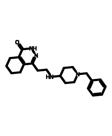 O=c1[nH]nc(CCNC2CCN(Cc3ccccc3)CC2)c2c1CCCC2